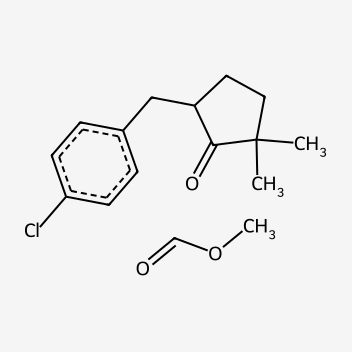 CC1(C)CCC(Cc2ccc(Cl)cc2)C1=O.COC=O